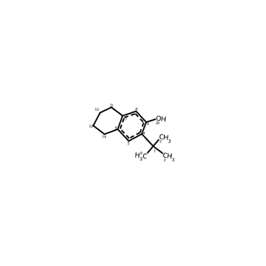 CC(C)(C)c1cc2c(cc1O)CCCC2